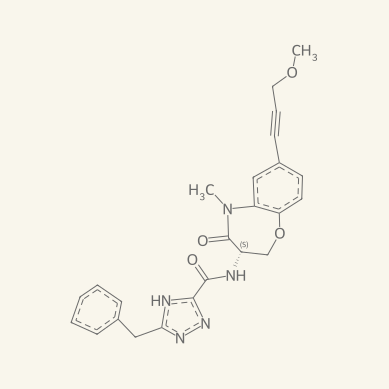 COCC#Cc1ccc2c(c1)N(C)C(=O)[C@@H](NC(=O)c1nnc(Cc3ccccc3)[nH]1)CO2